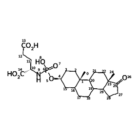 C[C@]12CC[C@H](OP(=O)(O)N[C@@H](CCC(=O)O)C(=O)O)CC1CCC1C2CC[C@]2(C)C(=O)CCC12